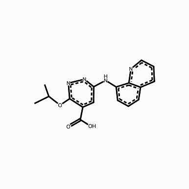 CC(C)Oc1nnc(Nc2cccc3cccnc23)cc1C(=O)O